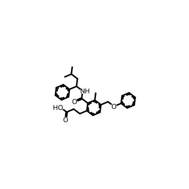 Cc1c(COc2ccccc2)ccc(CCC(=O)O)c1C(=O)NC(CC(C)C)c1ccccc1